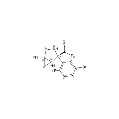 Fc1ccc(Br)cc1[C@@]1(C(F)F)NO[C@@H]2C[C@@H]21